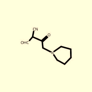 N#CC(C=O)C(=O)CN1CCCCC1